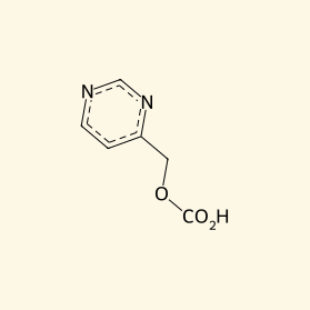 O=C(O)OCc1ccncn1